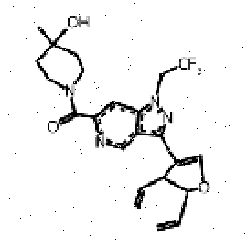 C=CC1OC=C(c2nn(CC(F)(F)F)c3cc(C(=O)N4CCC(C)(O)CC4)ncc23)C1C=C